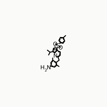 Cc1ccc(S(=O)(=O)n2cc(C(C)C)c3nc(Cc4c(C)cc(N)cc4C)ccc32)cc1